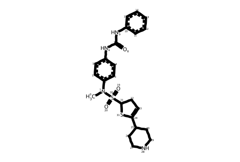 CN(c1ccc(NC(=O)Nc2ccccc2)cc1)S(=O)(=O)C1CC=C(C2CCNCC2)S1